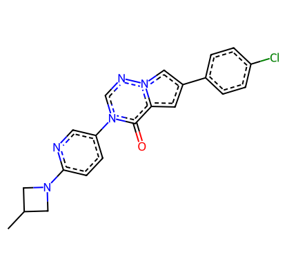 CC1CN(c2ccc(-n3cnn4cc(-c5ccc(Cl)cc5)cc4c3=O)cn2)C1